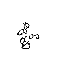 c1ccc(-c2ccc(N(c3cc4c5ccccc5oc4c4ccccc34)c3cccc4c3sc3ccccc34)cc2)cc1